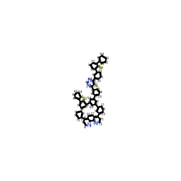 c1ccc(-c2ccnc3c2ccc2c(-c4cccc(-c5cc(-c6ccc7sc8c(-c9cccc(-c%10cccc%11c%10sc%10ccccc%10%11)c9)ncnc8c7c6)cc(-c6cccc7c6sc6ccccc67)c5)c4)ccnc23)cc1